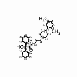 Cc1ccc(C)c(N2CCN(CCCNC(=O)C(O)(c3ccccc3)c3ccccc3)CC2)c1